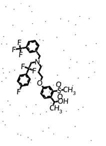 CC(O)c1ccc(OCCCN(Cc2cccc(C(F)(F)F)c2)CC(F)(F)c2ccc(F)cc2)cc1S(C)(=O)=O